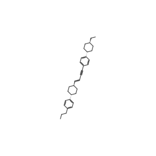 CCCc1ccc([C@H]2CC[C@H](C=CC#Cc3ccc([C@H]4CC[C@H](CC)CC4)cc3)CC2)cc1